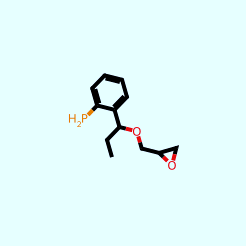 CCC(OCC1CO1)c1ccccc1P